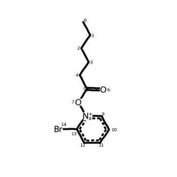 CCCCCC(=O)O[n+]1ccccc1Br